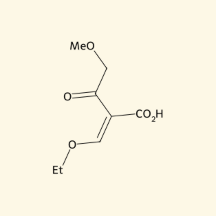 CCOC=C(C(=O)O)C(=O)COC